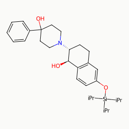 CC(C)[Si](Oc1ccc2c(c1)CC[C@@H](N1CCC(O)(c3ccccc3)CC1)[C@@H]2O)(C(C)C)C(C)C